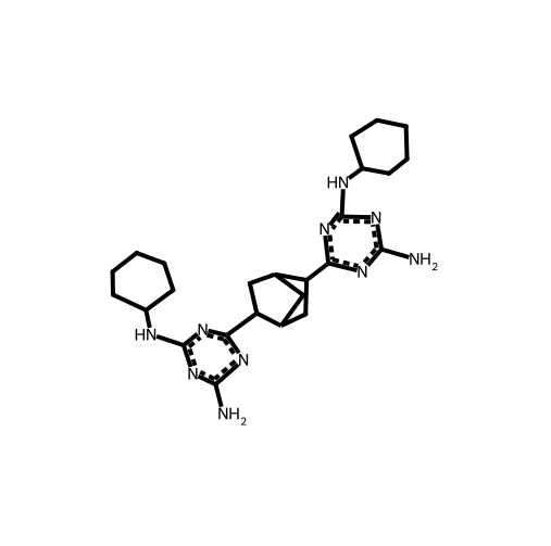 Nc1nc(NC2CCCCC2)nc(C2CC3CC2CC3c2nc(N)nc(NC3CCCCC3)n2)n1